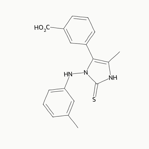 Cc1cccc(Nn2c(-c3cccc(C(=O)O)c3)c(C)[nH]c2=S)c1